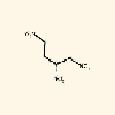 O=[N+]([O-])CCC(C[N+](=O)[O-])[N+](=O)[O-]